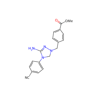 COC(=O)c1ccc(CN2CN(c3ccc(C#N)cc3)C(N)=N2)cc1